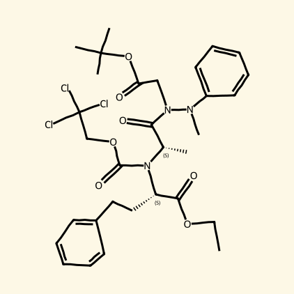 CCOC(=O)[C@H](CCc1ccccc1)N(C(=O)OCC(Cl)(Cl)Cl)[C@@H](C)C(=O)N(CC(=O)OC(C)(C)C)N(C)c1ccccc1